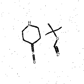 CC(C)(C)OC=O.O=C=C1CCNCC1